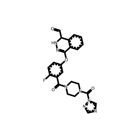 O=CC1NN=C(Oc2ccc(F)c(C(=O)N3CCN(C(=O)n4cncn4)CC3)c2)c2ccccc21